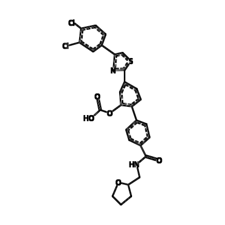 O=C(O)Oc1cc(-c2nc(-c3ccc(Cl)c(Cl)c3)cs2)ccc1-c1ccc(C(=O)NCC2CCCO2)cc1